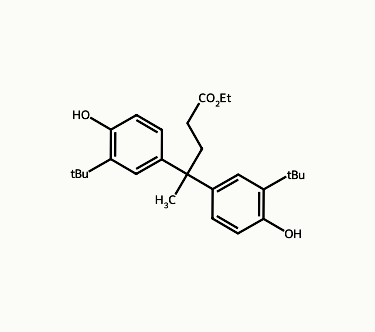 CCOC(=O)CCC(C)(c1ccc(O)c(C(C)(C)C)c1)c1ccc(O)c(C(C)(C)C)c1